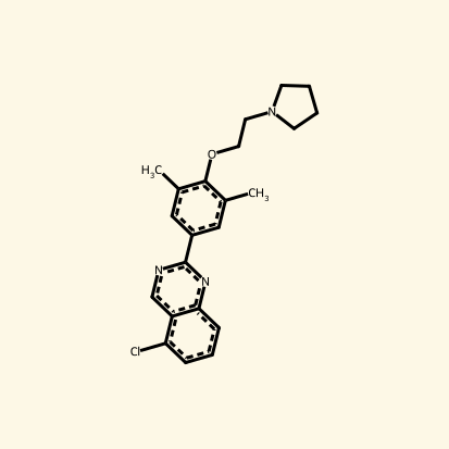 Cc1cc(-c2ncc3c(Cl)cccc3n2)cc(C)c1OCCN1CCCC1